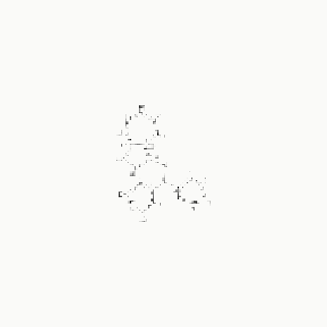 C(=C(c1ccccc1)c1ccccc1)c1ccc2cccccc1-2